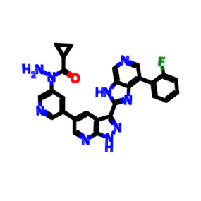 NN(C(=O)C1CC1)c1cncc(-c2cnc3[nH]nc(-c4nc5c(-c6ccccc6F)cncc5[nH]4)c3c2)c1